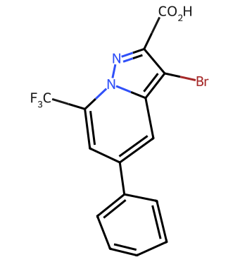 O=C(O)c1nn2c(C(F)(F)F)cc(-c3ccccc3)cc2c1Br